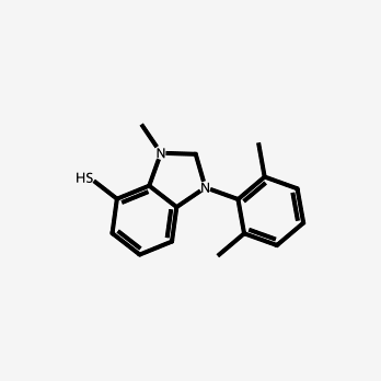 Cc1cccc(C)c1N1CN(C)c2c(S)cccc21